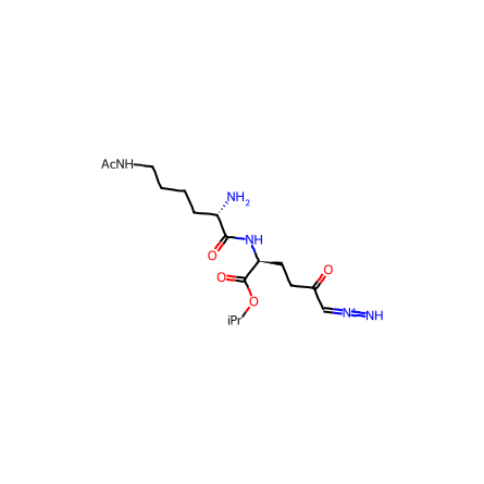 CC(=O)NCCCC[C@H](N)C(=O)N[C@@H](CCC(=O)C=[N+]=N)C(=O)OC(C)C